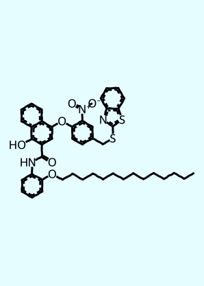 CCCCCCCCCCCCCCOc1ccccc1NC(=O)c1cc(Oc2ccc(CSc3nc4ccccc4s3)cc2[N+](=O)[O-])c2ccccc2c1O